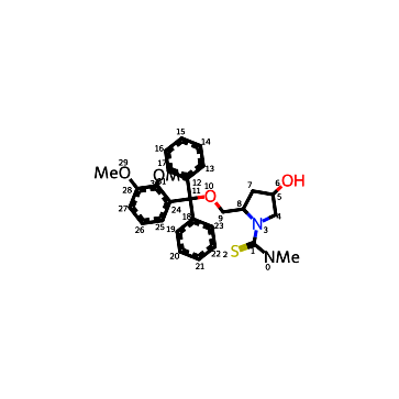 CNC(=S)N1CC(O)CC1COC(c1ccccc1)(c1ccccc1)c1cccc(OC)c1OC